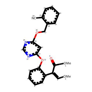 COC=C(C(=O)OC)c1ccccc1Oc1cc(OCc2ccccc2C#N)ncn1